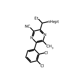 CCCCCCCC(CC)c1nc(C)c(-c2cccc(Cl)c2Cl)nc1C#N